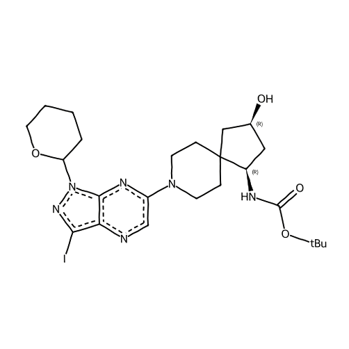 CC(C)(C)OC(=O)N[C@@H]1C[C@H](O)CC12CCN(c1cnc3c(I)nn(C4CCCCO4)c3n1)CC2